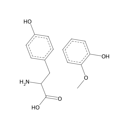 COc1ccccc1O.NC(Cc1ccc(O)cc1)C(=O)O